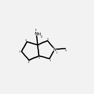 CN1CC2CCCC2(N)C1